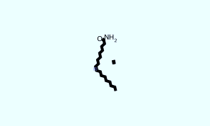 C=C.CCCCCCCC/C=C\CCCCCCCC(N)=O